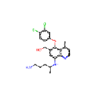 Cc1ccnc2c(N[C@@H](C)CCCN)cc(CO)c(Oc3ccc(Cl)c(Cl)c3)c12